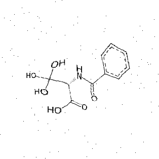 O=C(N[C@H](C(=O)O)C(O)(O)O)c1ccccc1